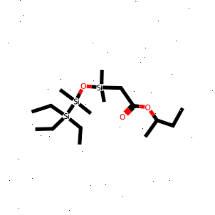 CCC(C)OC(=O)C[Si](C)(C)O[Si](C)(C)[Si](CC)(CC)CC